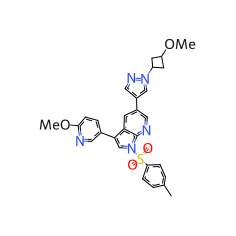 COc1ccc(-c2cn(S(=O)(=O)c3ccc(C)cc3)c3ncc(-c4cnn(C5CC(OC)C5)c4)cc23)cn1